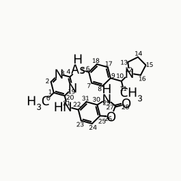 Cc1cnc([AsH]c2ccc(C(C)N3CCCC3)cc2)nc1Nc1ccc2oc(=O)[nH]c2c1